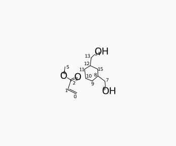 C=CC(=O)OC.OCC1CCCC(CO)C1